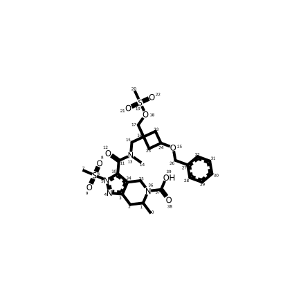 CC1Cc2nn(S(C)(=O)=O)c(C(=O)N(C)CC3(COS(C)(=O)=O)CC(OCc4ccccc4)C3)c2CN1C(=O)O